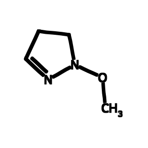 CON1CCC=N1